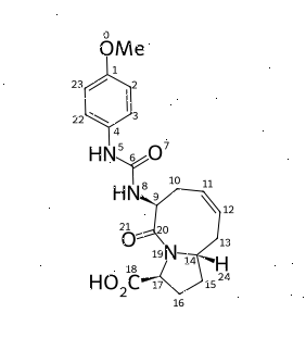 COc1ccc(NC(=O)N[C@H]2CC=CC[C@@H]3CC[C@@H](C(=O)O)N3C2=O)cc1